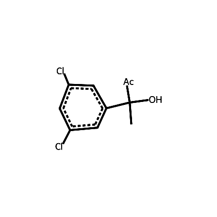 CC(=O)C(C)(O)c1cc(Cl)cc(Cl)c1